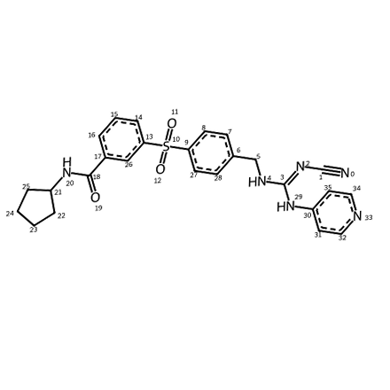 N#CN=C(NCc1ccc(S(=O)(=O)c2cccc(C(=O)NC3CCCC3)c2)cc1)Nc1ccncc1